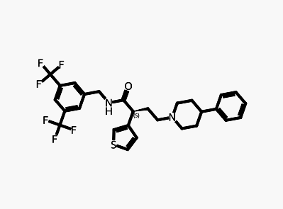 O=C(NCc1cc(C(F)(F)F)cc(C(F)(F)F)c1)[C@@H](CCN1CCC(c2ccccc2)CC1)c1ccsc1